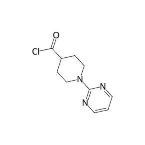 O=C(Cl)C1CCN(c2ncccn2)CC1